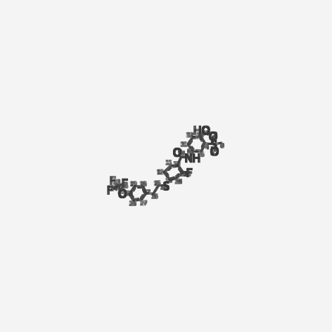 CS(=O)(=O)c1cc(NC(=O)c2ccc(SCCc3ccc(OC(F)(F)F)cc3)cc2F)ccc1O